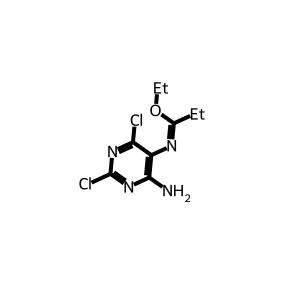 CCO/C(CC)=N\c1c(N)nc(Cl)nc1Cl